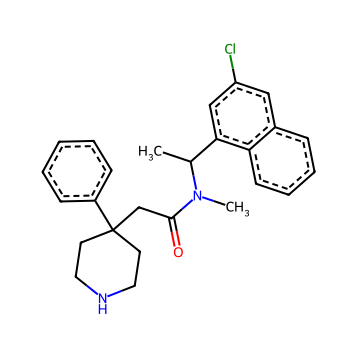 CC(c1cc(Cl)cc2ccccc12)N(C)C(=O)CC1(c2ccccc2)CCNCC1